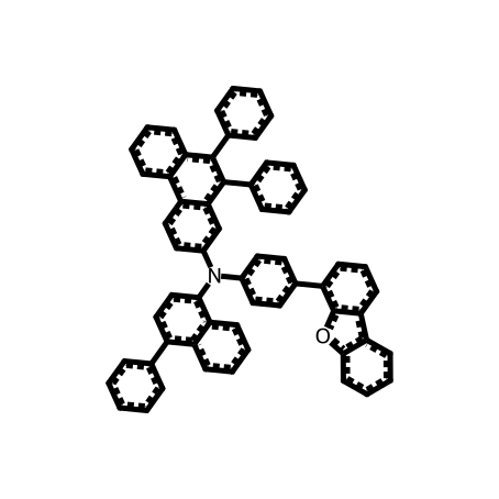 c1ccc(-c2ccc(N(c3ccc(-c4cccc5c4oc4ccccc45)cc3)c3ccc4c(c3)c(-c3ccccc3)c(-c3ccccc3)c3ccccc34)c3ccccc23)cc1